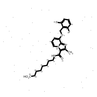 Cc1nc2c(OCc3c(F)cccc3F)cccn2c1C(=O)NCCCCCCCC(=O)O